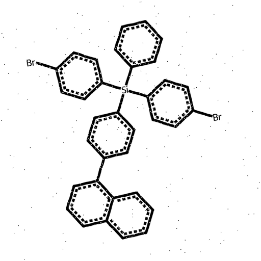 Brc1ccc([Si](c2ccccc2)(c2ccc(Br)cc2)c2ccc(-c3cccc4ccccc34)cc2)cc1